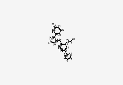 CCOc1cc(-c2nccs2)nnc1Cn1ccnc1-c1cccc(F)n1